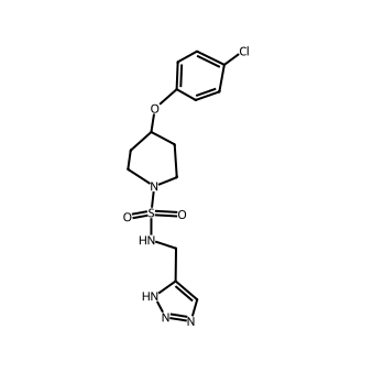 O=S(=O)(NCc1cnn[nH]1)N1CCC(Oc2ccc(Cl)cc2)CC1